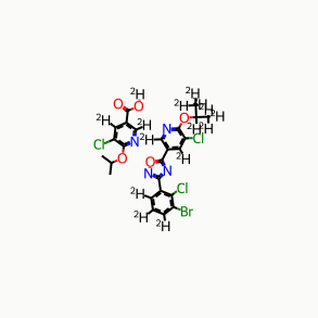 [2H]OC(=O)c1c([2H])nc(OC(C)C)c(Cl)c1[2H].[2H]c1nc(OC([2H])(C([2H])([2H])[2H])C([2H])([2H])[2H])c(Cl)c([2H])c1-c1nc(-c2c([2H])c([2H])c([2H])c(Br)c2Cl)no1